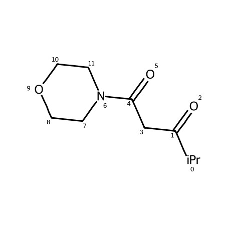 CC(C)C(=O)CC(=O)N1CCOCC1